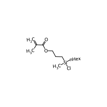 C=C(C)C(=O)OCCC[Si](C)(Cl)CCCCCC